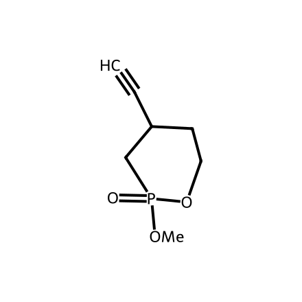 C#CC1CCOP(=O)(OC)C1